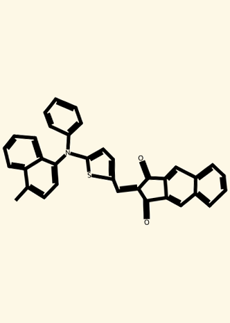 Cc1ccc(N(c2ccccc2)c2ccc(C=C3C(=O)c4cc5ccccc5cc4C3=O)s2)c2ccccc12